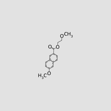 COCCOC(=O)c1ccc2cc(OC)ccc2c1